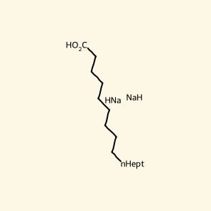 CCCCCCCCCCCCCCCC(=O)O.[NaH].[NaH]